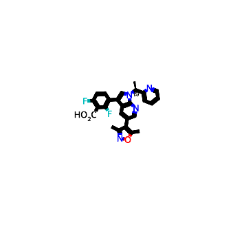 Cc1noc(C)c1-c1cnc2c(c1)c(-c1ccc(F)c(C(=O)O)c1F)cn2[C@@H](C)c1ccccn1